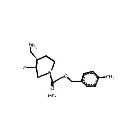 Cc1ccc(COC(=O)N2CC[C@H](CN)[C@H](F)C2)cc1.Cl